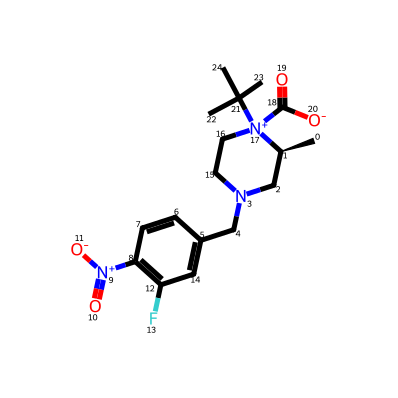 C[C@H]1CN(Cc2ccc([N+](=O)[O-])c(F)c2)CC[N+]1(C(=O)[O-])C(C)(C)C